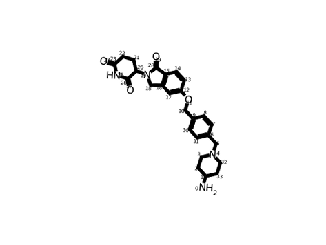 NC1CCN(Cc2ccc(COc3ccc4c(c3)CN(C3CCC(=O)NC3=O)C4=O)cc2)CC1